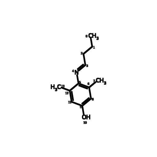 CCCC=Nc1c(C)cc(O)cc1C